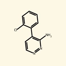 Nc1nnccc1-c1ccccc1Cl